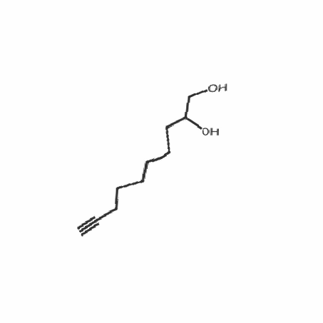 C#CCCCCCCC(O)CO